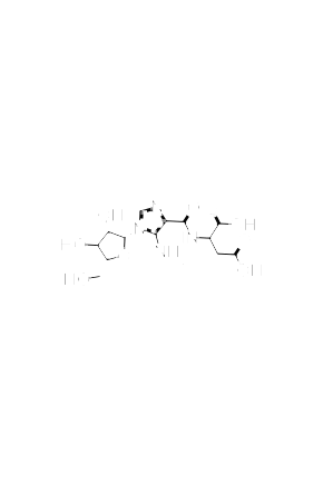 Nc1c(C(=O)NC(CC(=O)O)C(=O)O)ncn1[C@@H]1O[C@H](CO)C(O)[C@@H]1O